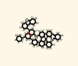 c1ccc(-c2cccc(-c3ccccc3N(c3ccc(-c4cccc5oc6ccccc6c45)cc3)c3cccc4c3-c3ccccc3C43c4ccccc4-n4c5ccccc5c5cccc3c54)c2)cc1